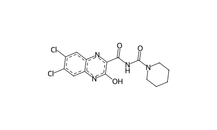 O=C(NC(=O)N1CCCCC1)c1nc2cc(Cl)c(Cl)cc2nc1O